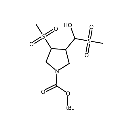 CC(C)(C)OC(=O)N1CC(C(O)S(C)(=O)=O)C(S(C)(=O)=O)C1